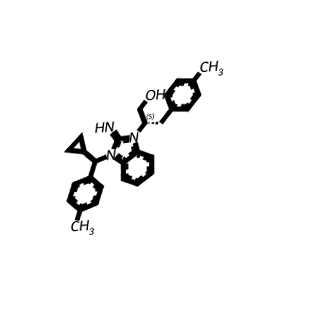 Cc1ccc(C[C@@H](CO)n2c(=N)n(C(c3ccc(C)cc3)C3CC3)c3ccccc32)cc1